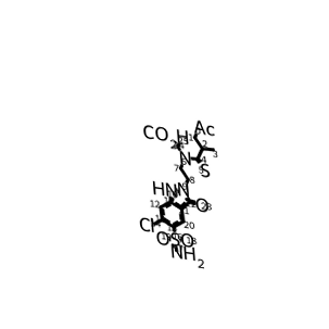 CC(=O)CC(C)C(=S)N(CCn1[nH]c2cc(Cl)c(S(N)(=O)=O)cc2c1=O)CC(=O)O